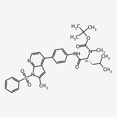 Cc1cc2c(-c3ccc(NC(=O)[C@@H](CC(C)C)N(C)C(=O)OC(C)(C)C)cc3)ccnc2n1S(=O)(=O)c1ccccc1